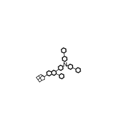 c1ccc(-c2ccc(N(c3ccc(-c4ccccc4)cc3)c3ccc(-c4cc5ccc(C67CC8CC9CC(C6)C98C7)cc5cc4-c4ccccc4)cc3)cc2)cc1